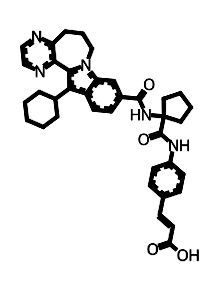 O=C(O)/C=C/c1ccc(NC(=O)C2(NC(=O)c3ccc4c(C5CCCCC5)c5n(c4c3)CCCc3nccnc3-5)CCCC2)cc1